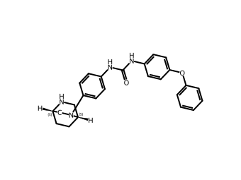 O=C(Nc1ccc(Oc2ccccc2)cc1)Nc1ccc(N2C[C@@H]3CC[C@H]2CN3)cc1